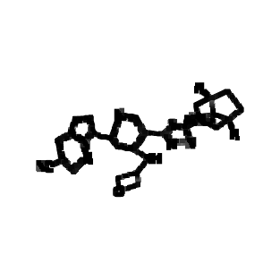 CC(=O)N[C@H]1[C@@H]2CC[C@H]1CN(c1nnc(-c3cnc(-c4ccc5cc(C#N)cnn45)cc3NC3COC3)s1)C2